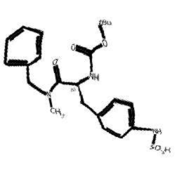 CN(Cc1ccccc1)C(=O)[C@H](Cc1ccc(NS(=O)(=O)O)cc1)NC(=O)OC(C)(C)C